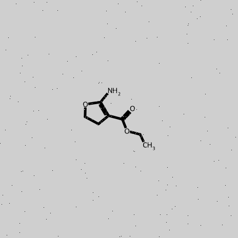 CCOC(=O)C1=C(N)OCC1